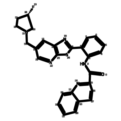 O=C(Nc1ccccc1-c1nc2cc(CN3CC[C@H](F)C3)cnc2s1)c1ccc2ccccc2n1